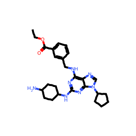 CCOC(=O)c1cccc(CNc2nc(NC3CCC(N)CC3)nc3c2ncn3C2CCCC2)c1